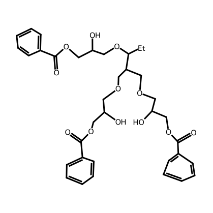 CCC(OCC(O)COC(=O)c1ccccc1)C(COCC(O)COC(=O)c1ccccc1)COCC(O)COC(=O)c1ccccc1